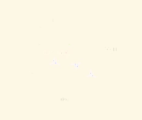 CN(C)c1cc(C(=O)O)ccc1N(Cc1cc(C2CC2)cc(C(C)(C)C)c1)C(=O)CN(Cc1ccccc1F)S(=O)(=O)c1c(F)c(F)c(F)c(F)c1F